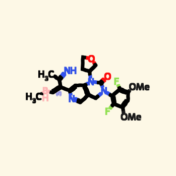 CB/C=C(\C(C)=N)c1cc2c(cn1)CN(c1c(F)c(OC)cc(OC)c1F)C(=O)N2C1CCOC1